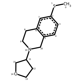 CSc1ccc2c(c1)CCN(C1CCOC1)C2